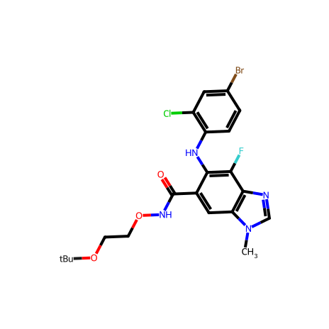 Cn1cnc2c(F)c(Nc3ccc(Br)cc3Cl)c(C(=O)NOCCOC(C)(C)C)cc21